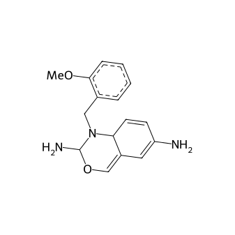 COc1ccccc1CN1C(N)OC=C2C=C(N)C=CC21